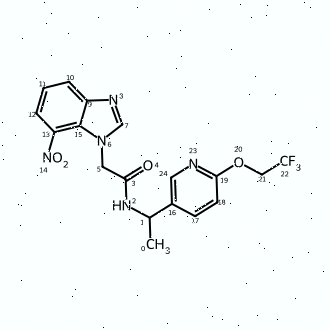 CC(NC(=O)Cn1cnc2cccc([N+](=O)[O-])c21)c1ccc(OCC(F)(F)F)nc1